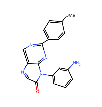 COc1ccc(-c2ncc3ncc(=O)n(-c4cccc(N)c4)c3n2)cc1